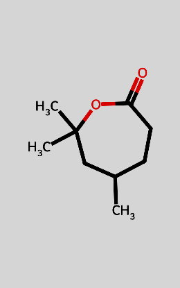 CC1CCC(=O)OC(C)(C)C1